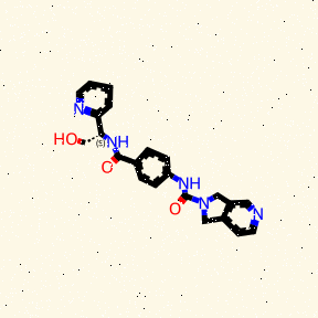 O=C(N[C@H](CO)c1ccccn1)c1ccc(NC(=O)N2Cc3ccncc3C2)cc1